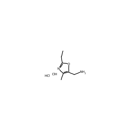 CCc1nc(C)c(CN)o1.Cl.Cl